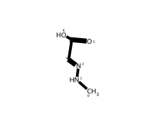 CNN=CC(=O)O